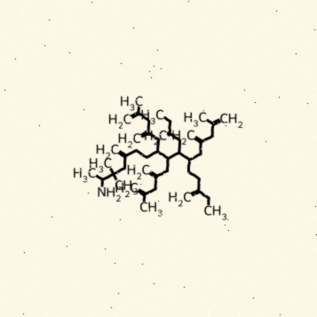 C=C(C)CC(=C)CC(CCC(=C)CC)C(CC(=C)CC)C(CC(=C)CC(=C)C)C(CCC(=C)CC(C)(C)C(C)N)CC(=C)CC(=C)C